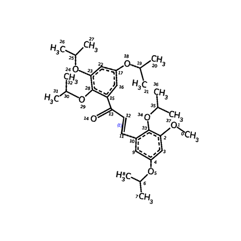 COc1cc(OC(C)C)cc(/C=C/C(=O)c2cc(OC(C)C)cc(OC(C)C)c2OC(C)C)c1OC(C)C